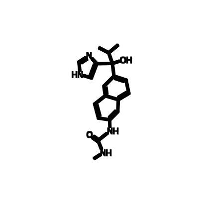 CNC(=O)Nc1ccc2cc(C(O)(c3c[nH]cn3)C(C)C)ccc2c1